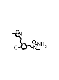 CCN(CCc1ccc(Cl)c(CCc2cc(C)on2)c1)C(N)=O